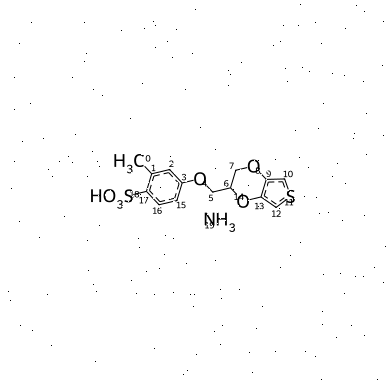 Cc1cc(OCC2COc3cscc3O2)ccc1S(=O)(=O)O.N